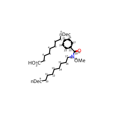 CCCCCCCCCCCCCCCCCC(=O)O.CCCCCCCCCCCCCCCCCCN(OC)C(=O)c1ccccc1